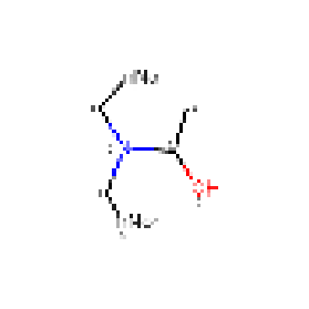 CCCCCCCCCCN(CCCCCCCCCC)C(C)O